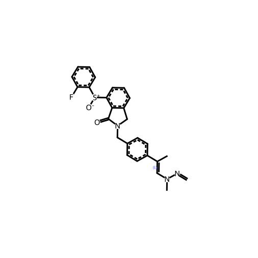 C=NN(C)/C=C(\C)c1ccc(CN2Cc3cccc([S+]([O-])c4ccccc4F)c3C2=O)cc1